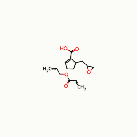 C=CCOC(=O)C=C.O=C(O)C1=CCCC1CC1CO1